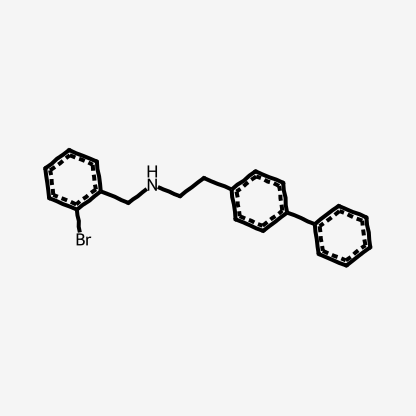 Brc1ccccc1CNCCc1ccc(-c2ccccc2)cc1